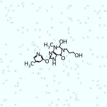 Cc1cncc(Oc2nc3c([nH]2)C(=O)N(CCCO)C(O)N3C)c1